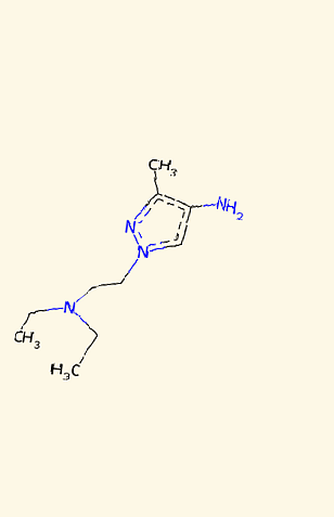 CCN(CC)CCn1cc(N)c(C)n1